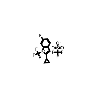 Fc1ccc2cc(C3CC3)[s+](C(F)(F)F)c2c1.O=S(=O)([O-])C(F)(F)F